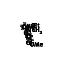 C=C(OCC)c1nc2c(c(Oc3ccc(CC(=O)OC)cc3)n1)CCC2